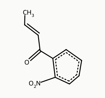 CC=CC(=O)c1ccccc1[N+](=O)[O-]